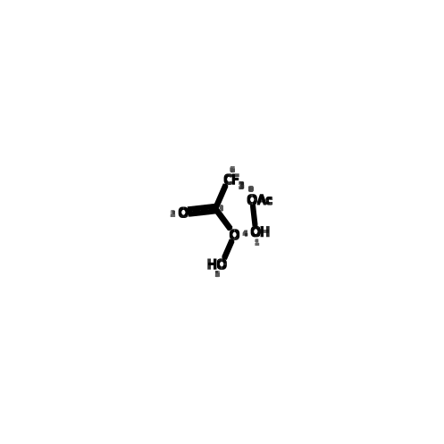 CC(=O)OO.O=C(OO)C(F)(F)F